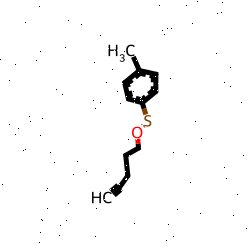 C#CCCCOSc1ccc(C)cc1